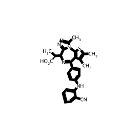 Cc1sc2c(c1C)C(c1ccc(Nc3ccccc3C#N)cc1)=NC([C@H](C)C(=O)O)c1nnc(C)n1-2